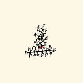 FC(F)(F)C(F)(F)C(F)(F)OC(F)(C(F)(F)F)C(F)(F)OC(F)(C(F)(F)F)C(F)(F)C(F)(F)C(F)(F)C(F)(F)F